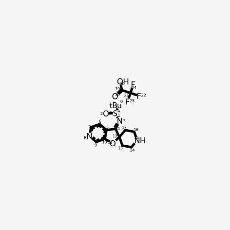 CC(C)(C)[S+]([O-])/N=C1\c2ccncc2OC12CCNCC2.O=C(O)C(F)(F)F